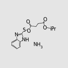 CC(C)OC(=O)CCC(=O)OSc1nc2ccccc2[nH]1.N